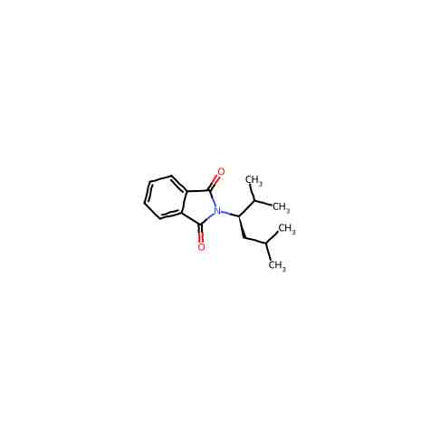 CC(C)C[C@H](C(C)C)N1C(=O)c2ccccc2C1=O